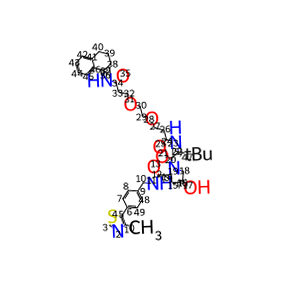 Cc1ncsc1-c1ccc(CNC(=O)[C@@H]2C[C@@H](O)CN2C(=O)[C@@H](NC(=O)CCOCCOCCC(=O)N[C@@H]2CCCc3ccccc32)C(C)(C)C)cc1